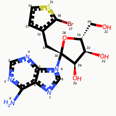 Nc1ncnc2c1ncn2[C@]1(Cc2ccsc2Br)O[C@H](CO)[C@@H](O)[C@H]1O